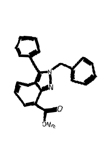 COC(=O)c1cccc2c(-c3ccccc3)n(Cc3ccccc3)nc12